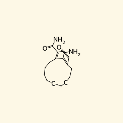 NC(=O)c1ccc2c(C(N)=O)c1CCCCCCCCC2